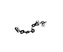 O=C1CCC(N2Cc3cc(O[C@H]4CCC[C@H]4N4CC(c5ccc(-n6cccn6)cc5)C4)ccc3C2=O)C(=O)N1